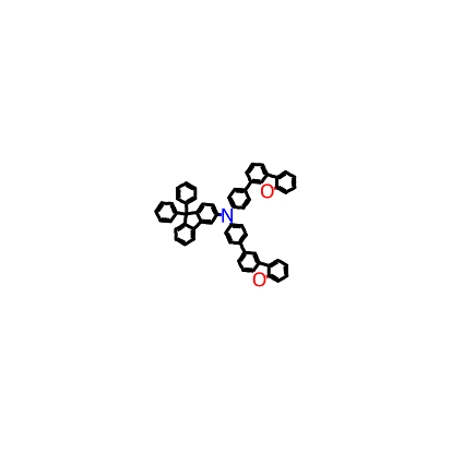 c1ccc(C2(c3ccccc3)c3ccccc3-c3cc(N(c4ccc(-c5ccc6oc7ccccc7c6c5)cc4)c4ccc(-c5cccc6c5oc5ccccc56)cc4)ccc32)cc1